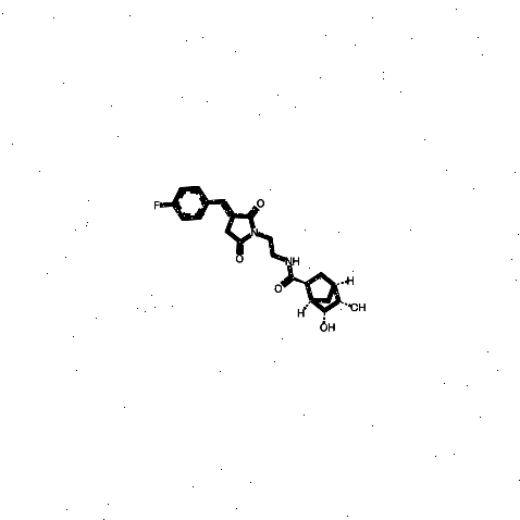 O=C(NCCN1C(=O)C/C(=C\c2ccc(F)cc2)C1=O)[C@H]1C[C@@H]2C[C@H]1[C@@H](O)[C@H]2O